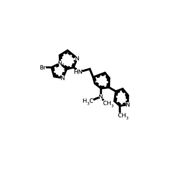 Cc1cc(-c2ccc(CNc3nccn4c(Br)cnc34)cc2N(C)C)ccn1